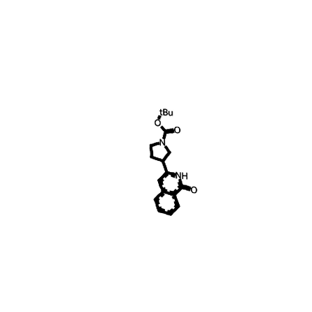 CC(C)(C)OC(=O)N1CCC(c2cc3ccccc3c(=O)[nH]2)C1